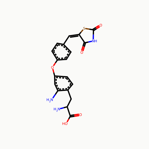 Nc1cc(Oc2ccc(C=C3SC(=O)NC3=O)cc2)ccc1CC(N)C(=O)O